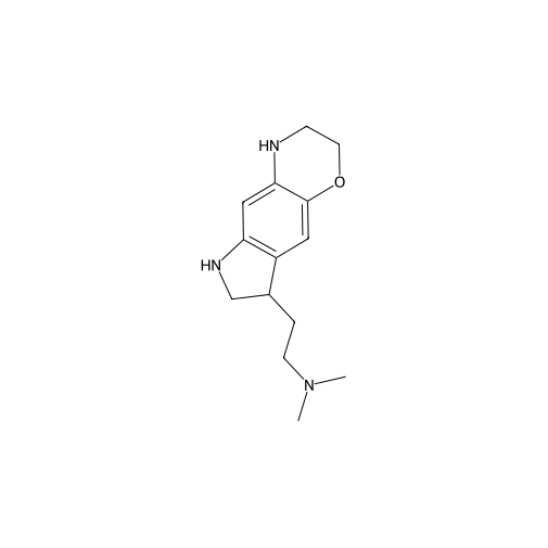 CN(C)CCC1CNc2cc3c(cc21)OCCN3